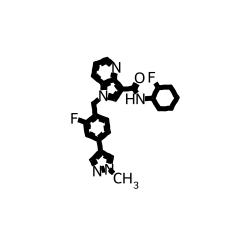 Cn1cc(-c2ccc(Cn3cc(C(=O)NC4CCCCC4F)c4ncccc43)c(F)c2)cn1